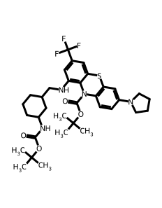 CC(C)(C)OC(=O)NC1CCCC(CNc2cc(C(F)(F)F)cc3c2N(C(=O)OC(C)(C)C)c2ccc(N4CCCC4)cc2S3)C1